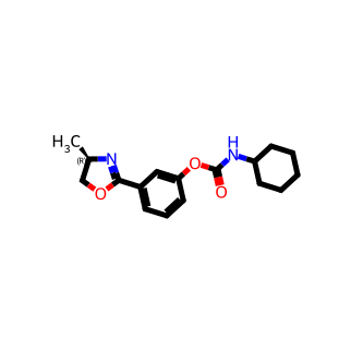 C[C@@H]1COC(c2cccc(OC(=O)NC3CCCCC3)c2)=N1